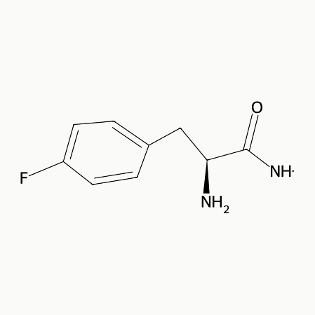 [NH]C(=O)[C@@H](N)Cc1ccc(F)cc1